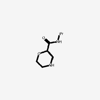 CC(C)NC(=O)C1CNCCO1